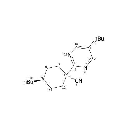 CCCCc1cnc([C@]2(C#N)CC[C@H](CCCC)CC2)nc1